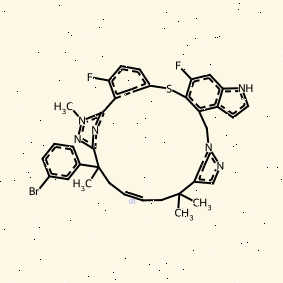 Cn1nc2nc1-c1cc(ccc1F)Sc1c(F)cc3[nH]ccc3c1Cn1cc(cn1)C(C)(C)C/C=C\CC2(C)c1cccc(Br)c1